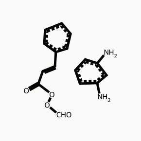 Nc1cccc(N)c1.O=COOC(=O)C=Cc1ccccc1